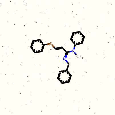 CN(C(C=CSc1ccccc1)=NCc1ccccc1)c1ccccc1